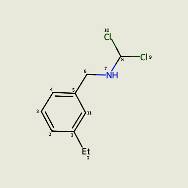 CCc1cccc(CNC(Cl)Cl)c1